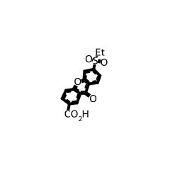 CCS(=O)(=O)c1ccc2c(=O)c3cc(C(=O)O)ccc3oc2c1